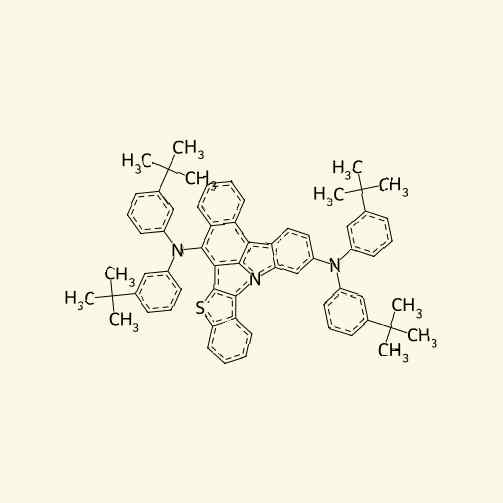 CC(C)(C)c1cccc(N(c2cccc(C(C)(C)C)c2)c2ccc3c4c5ccccc5c(N(c5cccc(C(C)(C)C)c5)c5cccc(C(C)(C)C)c5)c5c6sc7ccccc7c6n(c3c2)c54)c1